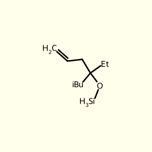 C=CCC(CC)(O[SiH3])C(C)CC